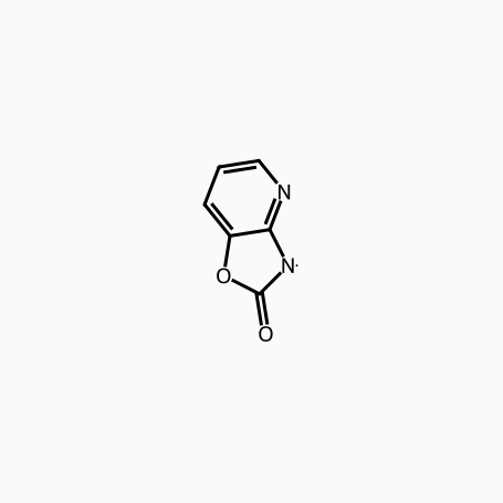 O=C1[N]c2ncccc2O1